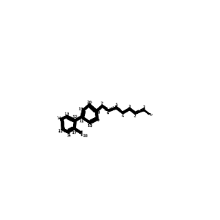 CCCCCCCCc1ccc(-c2ccccc2I)cc1